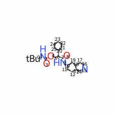 CC(C)(C)NC(=O)OC[C@H](C(=O)Nc1ccc2cnccc2c1)c1ccccc1